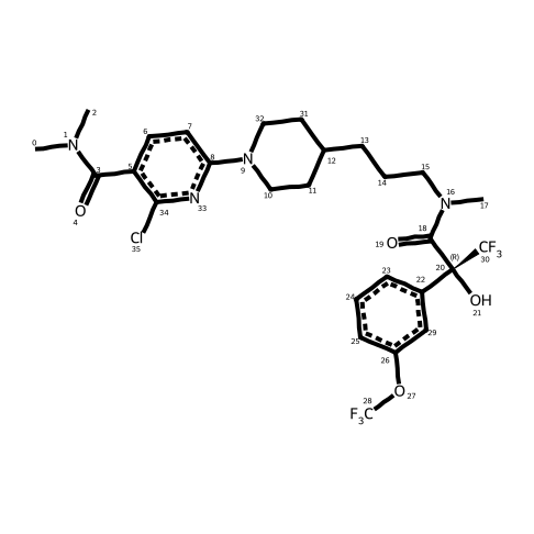 CN(C)C(=O)c1ccc(N2CCC(CCCN(C)C(=O)[C@](O)(c3cccc(OC(F)(F)F)c3)C(F)(F)F)CC2)nc1Cl